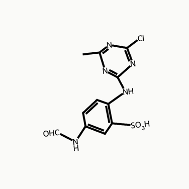 Cc1nc(Cl)nc(Nc2ccc(NC=O)cc2S(=O)(=O)O)n1